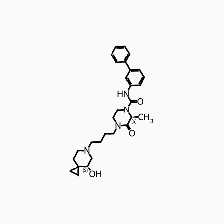 C[C@H]1C(=O)N(CCCCN2CCC3(CC3)[C@H](O)C2)CCN1C(=O)Nc1cccc(-c2ccccc2)c1